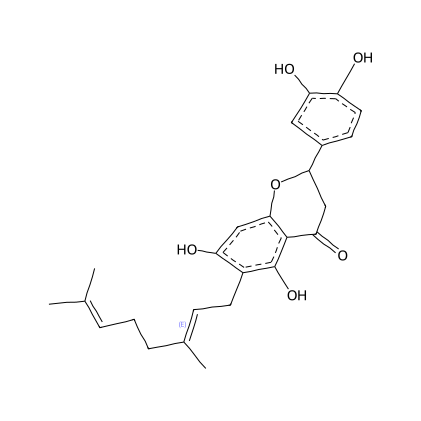 CC(C)=CCC/C(C)=C/Cc1c(O)cc2c(c1O)C(=O)CC(c1ccc(O)c(O)c1)O2